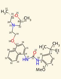 CCC(C)(C)c1ccc(OC)c(NC(=O)Nc2ccc(OCCN3C[C@@H](C)O[C@@H](C)C3)c3ccccc23)c1